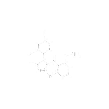 Cc1nn(C)c(Nc2c(Br)cccc2CN)c1-c1ccc(F)cc1F